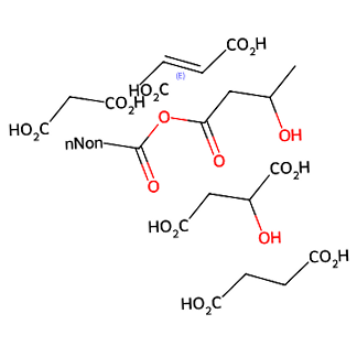 CCCCCCCCCC(=O)OC(=O)CC(C)O.O=C(O)/C=C/C(=O)O.O=C(O)CC(=O)O.O=C(O)CC(O)C(=O)O.O=C(O)CCC(=O)O